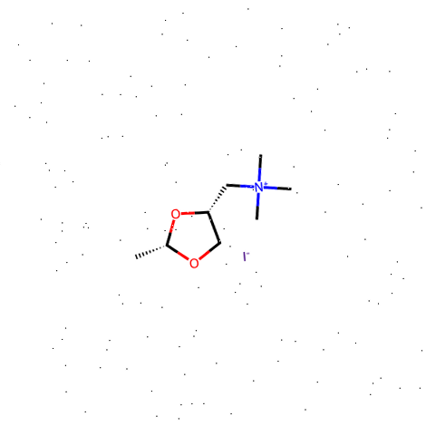 C[C@H]1OC[C@@H](C[N+](C)(C)C)O1.[I-]